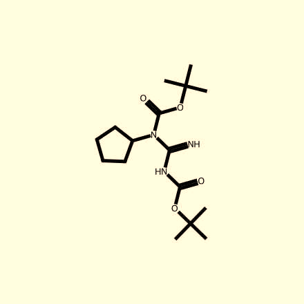 CC(C)(C)OC(=O)NC(=N)N(C(=O)OC(C)(C)C)C1CCCC1